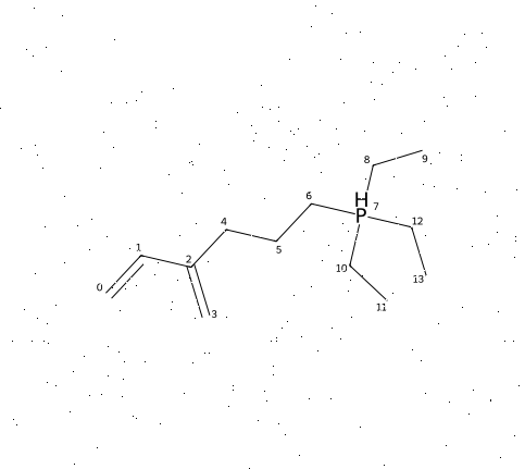 C=CC(=C)CCC[PH](CC)(CC)CC